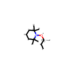 CC[C@@H](C)ON1C(C)(C)CCCC1(C)C